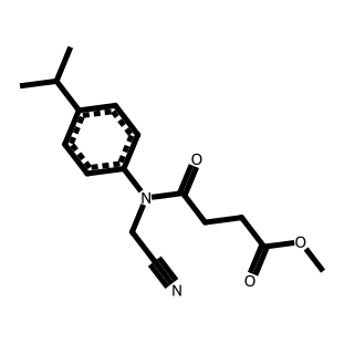 COC(=O)CCC(=O)N(CC#N)c1ccc(C(C)C)cc1